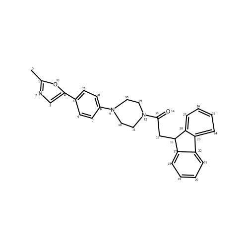 Cc1ncc(-c2ccc(N3CCN(C(=O)CC4c5ccccc5-c5ccccc54)CC3)cc2)o1